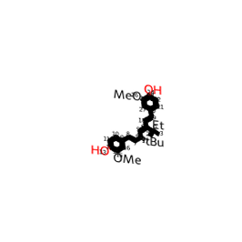 CCC(C)(C)C(=C\C(/C=C/c1ccc(O)c(OC)c1)C(C)(C)C)/C=C/c1ccc(O)c(OC)c1